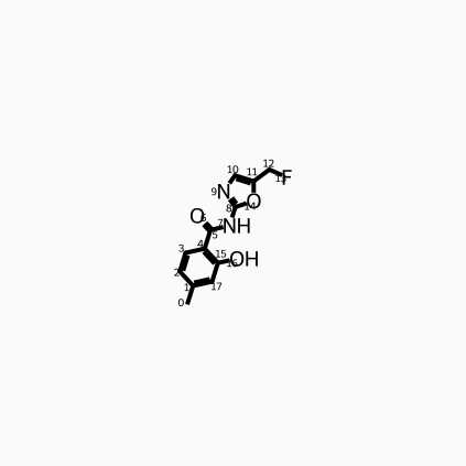 Cc1ccc(C(=O)Nc2ncc(CF)o2)c(O)c1